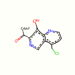 COC(=O)c1ncc2c(Cl)ccnc2c1O